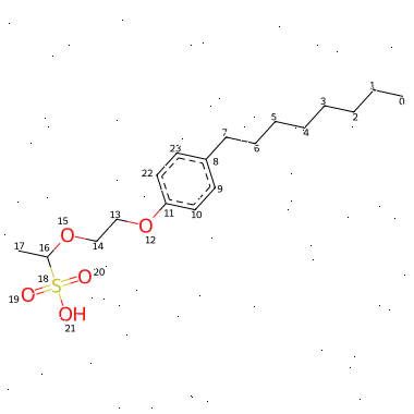 CCCCCCCCc1ccc(OCCOC(C)S(=O)(=O)O)cc1